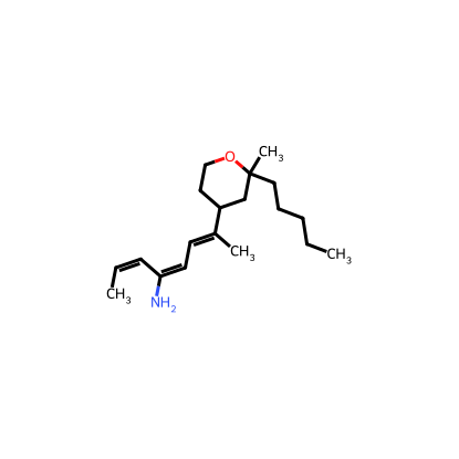 C\C=C/C(N)=C\C=C(/C)C1CCOC(C)(CCCCC)C1